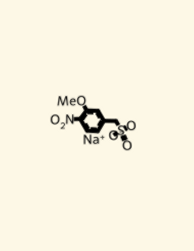 COc1cc(CS(=O)(=O)[O-])ccc1[N+](=O)[O-].[Na+]